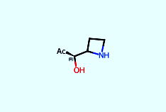 CC(=O)[C@H](O)C1CCN1